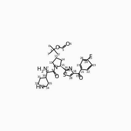 CC(C)(C)OC=O.NC(C(=O)N1CCC[C@H]1c1nc(C(=O)c2ccc(F)cc2)cs1)C1CCNCC1